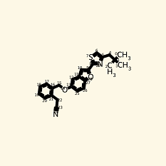 CC(C)(C)Cc1csc(-c2cc3cc(OCc4ccccc4CC#N)ccc3o2)n1